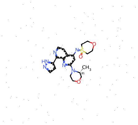 C[C@@H]1COCCN1c1cc(N=S2(=O)CCOCC2)c2ccnc(-c3ccn[nH]3)c2n1